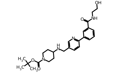 CC(C)(C)OC(=O)N1CCC(NCc2ccc(-c3cccc(C(=O)NCCO)c3)nc2)CC1